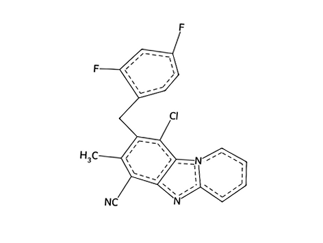 Cc1c(Cc2ccc(F)cc2F)c(Cl)c2c(nc3ccccn32)c1C#N